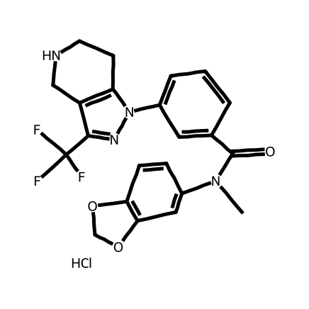 CN(C(=O)c1cccc(-n2nc(C(F)(F)F)c3c2CCNC3)c1)c1ccc2c(c1)OCO2.Cl